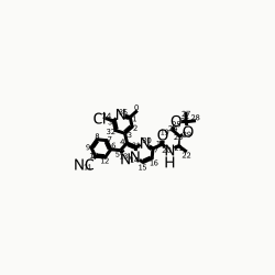 Cc1cc(-c2c(-c3cccc(C#N)c3)nn3ccc(C(=O)NC(C)[C@H]4COC(C)(C)O4)nc23)cc(Cl)n1